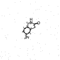 CC(C)c1ccc2c(c1)CC(=O)NC2